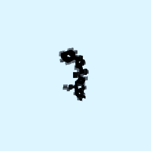 C[C@@H](O)c1cnnn1C[C@H]1C[C@@H](NC(=O)c2cc(-c3ccccc3)no2)C1